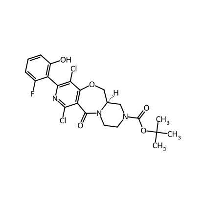 CC(C)(C)OC(=O)N1CCN2C(=O)c3c(Cl)nc(-c4c(O)cccc4F)c(Cl)c3OC[C@H]2C1